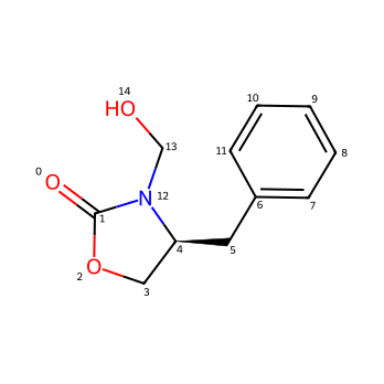 O=C1OC[C@H](Cc2ccccc2)N1CO